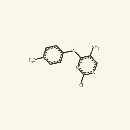 Cc1cnc(Cl)nc1Nc1ccc(C(F)(F)F)cc1